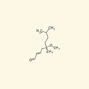 COC(C)(C/C=C/C=O)CCC(C)C